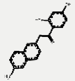 Cc1ccc2cc(CC(=O)c3ccc(O)cc3O)ccc2c1